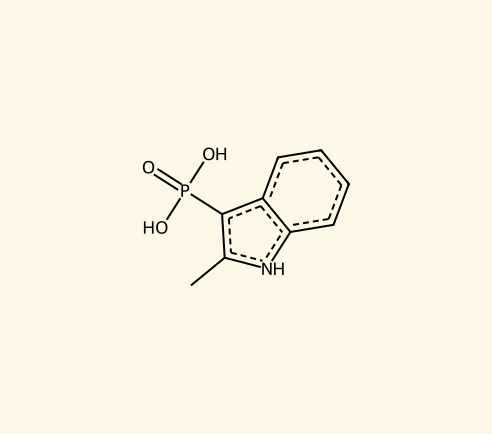 Cc1[nH]c2ccccc2c1P(=O)(O)O